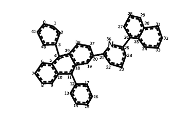 c1ccc(-c2c3ccccc3c(-c3ccccc3)c3cc(-c4cccc(-c5cccc6ccccc56)n4)ccc23)cc1